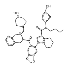 CCCCN(C(=O)c1cc(-c2cc3c(cc2C(=O)N2Cc4ccccc4C[C@H]2CN2CCOCC2)OCO3)n2c1CCCC2)c1ccc(O)cc1.Cl